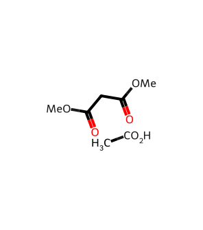 CC(=O)O.COC(=O)CC(=O)OC